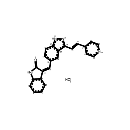 Cl.O=C1Nc2ccccc2C1=Cc1ccc2[nH]nc(C=Cc3ccncc3)c2c1